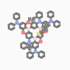 Cc1ccccc1N1c2cc3c(cc2B2c4sc(C(C)(C)C)cc4Oc4cc(N(c5ccccc5)c5ccccc5)cc1c42)B1c2cc4c(cc2Oc2cc(N(c5ccccc5)c5ccccc5)cc(c21)O3)N(c1ccccc1C)c1cc(N(c2ccccc2)c2ccccc2)cc2c1B4c1sc(C(C)(C)C)cc1O2